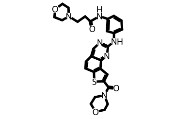 O=C(CCN1CCOCC1)Nc1cccc(Nc2ncc3ccc4sc(C(=O)N5CCOCC5)cc4c3n2)c1